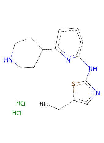 CC(C)(C)Cc1cnc(Nc2cccc(C3CCNCC3)n2)s1.Cl.Cl